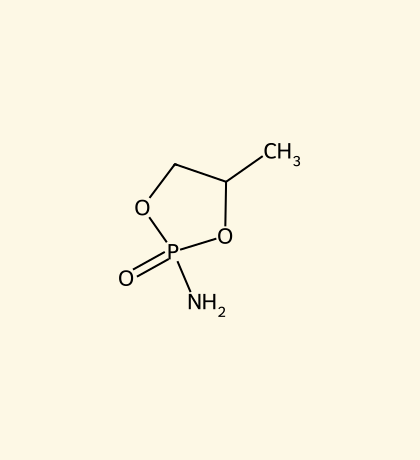 CC1COP(N)(=O)O1